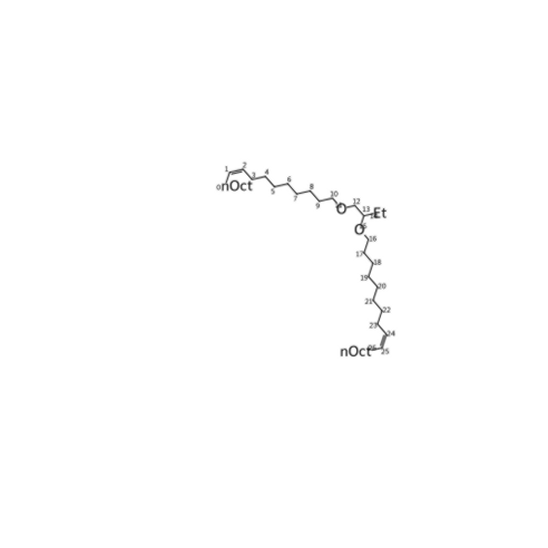 CCCCCCCC/C=C\CCCCCCCCOCC(CC)OCCCCCCCC/C=C\CCCCCCCC